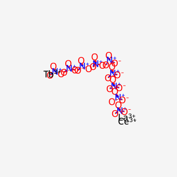 O=[N+]([O-])[O-].O=[N+]([O-])[O-].O=[N+]([O-])[O-].O=[N+]([O-])[O-].O=[N+]([O-])[O-].O=[N+]([O-])[O-].O=[N+]([O-])[O-].O=[N+]([O-])[O-].O=[N+]([O-])[O-].[Ce+3].[La+3].[Tb+3]